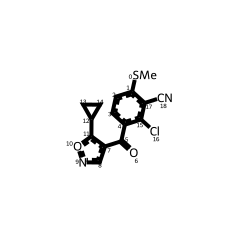 CSc1ccc(C(=O)c2cnoc2C2CC2)c(Cl)c1C#N